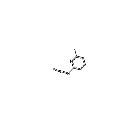 Cc1cccc(N=C=S)n1